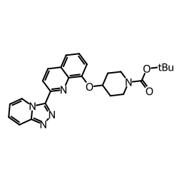 CC(C)(C)OC(=O)N1CCC(Oc2cccc3ccc(-c4nnc5ccccn45)nc23)CC1